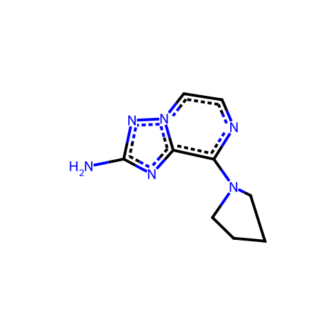 Nc1nc2c(N3CCCC3)nccn2n1